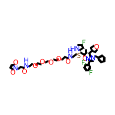 O=C(CCOCCOCCOCCOCCNC(=O)CCN1C(=O)C=CC1=O)NCCSCC(=O)C(C[C@@H]1CNC[C@@H]1F)[C@@H](c1nc(-c2cc(F)ccc2F)cn1Cc1ccccc1)C1CCOCC1